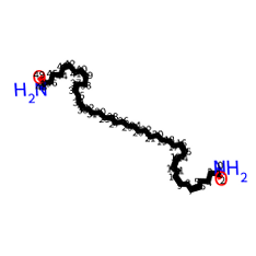 NC(=O)CCC/C=C\C/C=C\C/C=C\C/C=C\CCCCCCCCCCCCCCCC/C=C\C/C=C\C/C=C\C/C=C\CCCC(N)=O